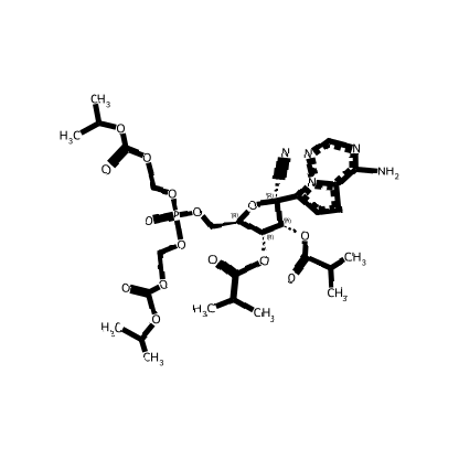 CC(C)OC(=O)OCOP(=O)(OCOC(=O)OC(C)C)OC[C@H]1O[C@@](C#N)(c2ccc3c(N)ncnn23)[C@H](OC(=O)C(C)C)[C@@H]1OC(=O)C(C)C